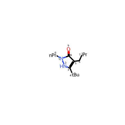 CCCn1[nH]c(C(C)(C)C)c(CC(C)C)c1=O